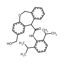 CC(C)c1cccc(C(C)C)c1NC(=O)C1c2ccccc2COc2ccc(CO)cc21